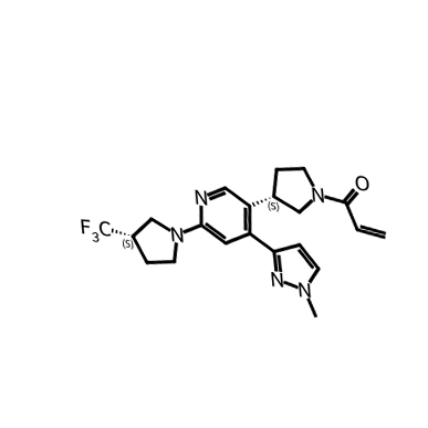 C=CC(=O)N1CC[C@@H](c2cnc(N3CC[C@H](C(F)(F)F)C3)cc2-c2ccn(C)n2)C1